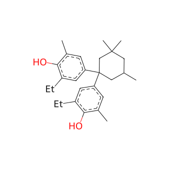 CCc1cc(C2(c3cc(C)c(O)c(CC)c3)CC(C)CC(C)(C)C2)cc(C)c1O